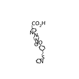 O=C(O)Cc1ccc(N2CCN(C(=O)Oc3ccc(CCSc4ccccn4)cc3)CC2)nc1